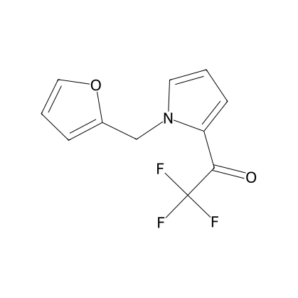 O=C(c1cccn1Cc1ccco1)C(F)(F)F